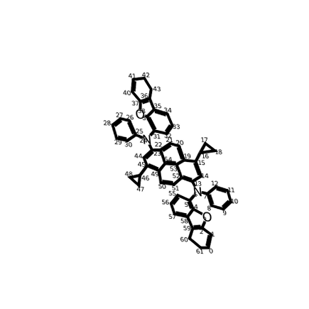 C1=Cc2oc3c(N(c4ccccc4)c4cc(C5CC5)c5ccc6c(N(c7ccccc7)c7cccc8c9c(oc78)C=CCC9)cc(C7CC7)c7ccc4c5c76)cccc3c2CC1